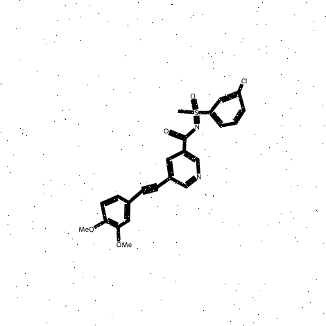 COc1ccc(C#Cc2cncc(C(=O)N=S(C)(=O)c3cccc(Cl)c3)c2)cc1OC